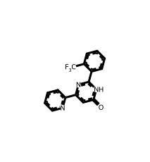 O=c1cc(-c2ccccn2)nc(-c2ccccc2C(F)(F)F)[nH]1